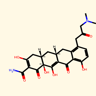 CN(C)CC(=O)Cc1ccc(O)c2c1C[C@H]1C[C@H]3CC(O)=C(C(N)=O)C(=O)[C@@]3(O)C(O)=C1C2=O